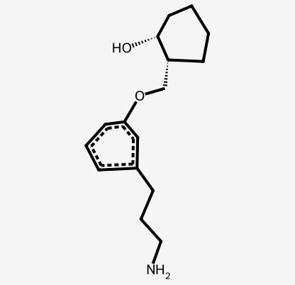 NCCCc1cccc(OC[C@H]2CCCC[C@H]2O)c1